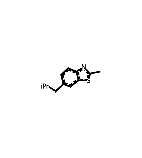 Cc1nc2ccc([CH]C(C)C)cc2s1